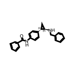 O=C(Nc1ccc([C@@H]2C[C@H]2NCc2ccccc2)cc1)c1ccccc1